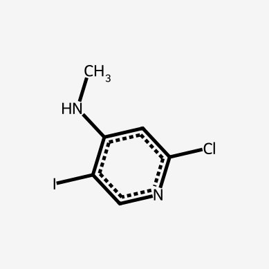 CNc1cc(Cl)ncc1I